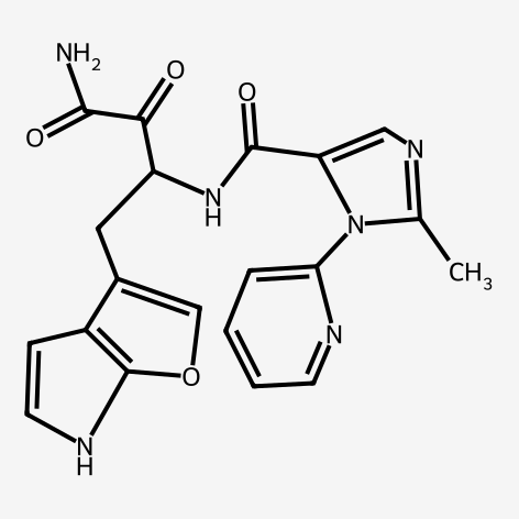 Cc1ncc(C(=O)NC(Cc2coc3[nH]ccc23)C(=O)C(N)=O)n1-c1ccccn1